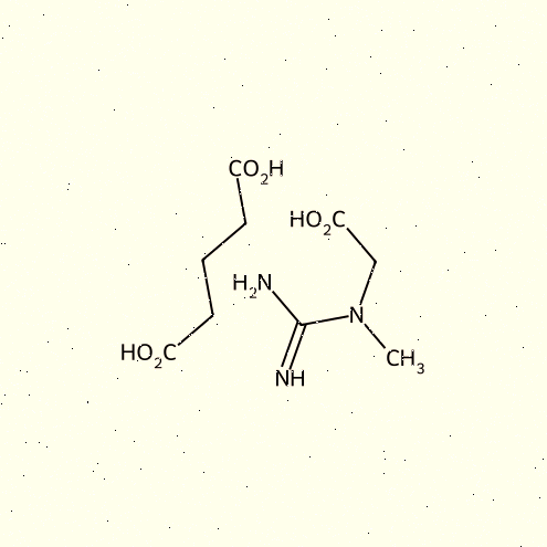 CN(CC(=O)O)C(=N)N.O=C(O)CCCC(=O)O